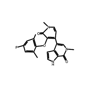 Cc1cc(F)cc(C)c1Oc1c(-c2cn(C)c(=O)c3[nH]ccc23)ccn(C)c1=O